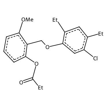 CCC(=O)Oc1cccc(OC)c1COc1cc(Cl)c(CC)cc1CC